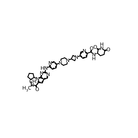 CN(C)C(=O)c1cc2cnc(Nc3ccc(N4CCN(C5CN(c6ccc(C(=O)N[C@@H]7CCC(=O)NC7=O)nc6)C5)CC4)cn3)nc2n1C1CCCC1